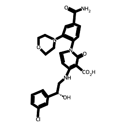 NC(=O)c1ccc(-n2ccc(NC[C@H](O)c3cccc(Cl)c3)c(C(=O)O)c2=O)c(N2CCOCC2)c1